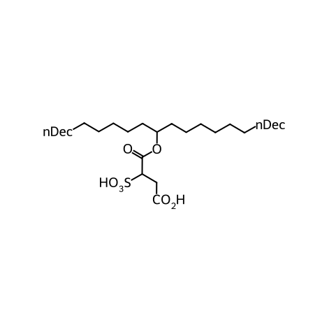 CCCCCCCCCCCCCCCCC(CCCCCCCCCCCCCCC)OC(=O)C(CC(=O)O)S(=O)(=O)O